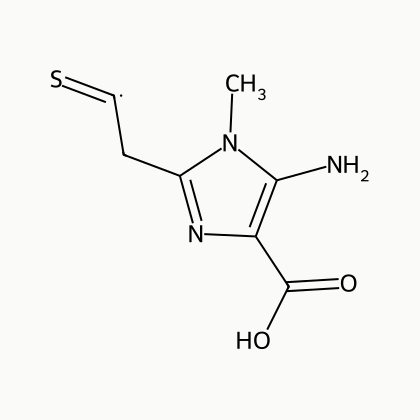 Cn1c(C[C]=S)nc(C(=O)O)c1N